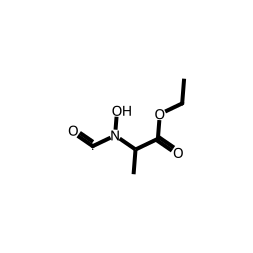 CCOC(=O)C(C)N(O)[C]=O